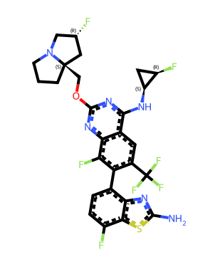 Nc1nc2c(-c3c(C(F)(F)F)cc4c(N[C@H]5C[C@H]5F)nc(OC[C@@]56CCCN5C[C@H](F)C6)nc4c3F)ccc(F)c2s1